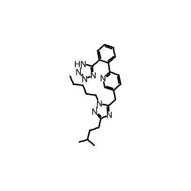 CCCCCn1nc(CCC(C)C)nc1Cc1ccc(-c2ccccc2-c2nnn[nH]2)nc1